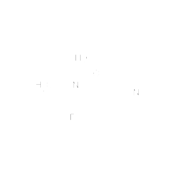 C=Cc1nc(OC)c(-c2ccncc2)cc1F